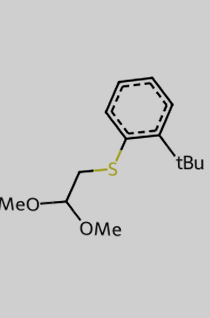 COC(CSc1ccccc1C(C)(C)C)OC